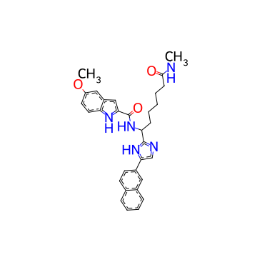 CNC(=O)CCCCCC(NC(=O)c1cc2cc(OC)ccc2[nH]1)c1ncc(-c2ccc3ccccc3c2)[nH]1